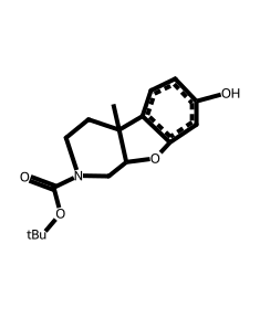 CC(C)(C)OC(=O)N1CCC2(C)c3ccc(O)cc3OC2C1